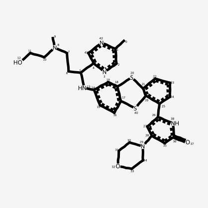 Cc1cnc(C(CCN(C)CCO)Nc2ccc3c(c2)Sc2cccc(-c4cc(N5CCOCC5)cc(=O)[nH]4)c2S3)cn1